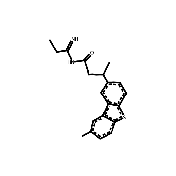 CCC(=N)NC(=O)CC(C)c1ccc2sc3ccc(C)cc3c2c1